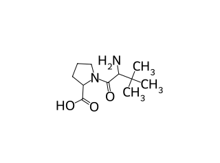 CC(C)(C)C(N)C(=O)N1CCCC1C(=O)O